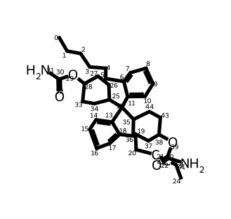 CCCCCCc1ccccc1C(c1ccccc1CCCCCC)(C1CCC(OC(N)=O)CC1)C1CCC(OC(N)=O)CC1